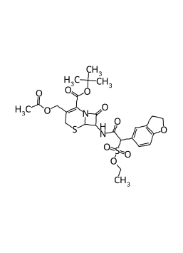 CCOS(=O)(=O)C(C(=O)NC1C(=O)N2C(C(=O)OC(C)(C)C)=C(COC(C)=O)CSC12)c1ccc2c(c1)CCO2